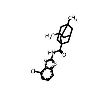 CC12CC3CC(C)(C1)CC(C(=O)Nc1nc4c(Cl)cccc4s1)(C3)C2